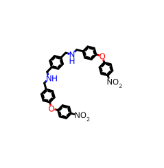 O=[N+]([O-])c1ccc(Oc2ccc(CNCc3ccc(CNCc4ccc(Oc5ccc([N+](=O)[O-])cc5)cc4)cc3)cc2)cc1